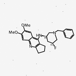 COc1cc2nc3c(c(N[C@@H]4C[C@H](F)CN(Cc5ccccc5)C4)c2cc1OC)CCC3